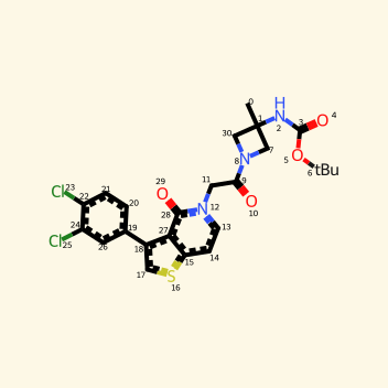 CC1(NC(=O)OC(C)(C)C)CN(C(=O)Cn2ccc3scc(-c4ccc(Cl)c(Cl)c4)c3c2=O)C1